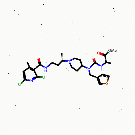 COC(=O)C(C)NC(=O)N(Cc1ccsc1)C1CCN([C@H](C)CCNC(=O)c2c(C)cc(Cl)nc2Cl)CC1